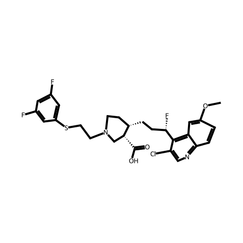 COc1ccc2ncc(Cl)c([C@@H](F)CC[C@H]3CCN(CCSc4cc(F)cc(F)c4)C[C@H]3C(=O)O)c2c1